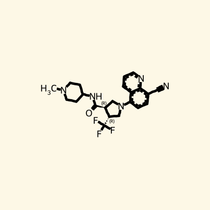 CN1CCC(NC(=O)[C@H]2CN(c3ccc(C#N)c4ncccc34)C[C@@H]2C(F)(F)F)CC1